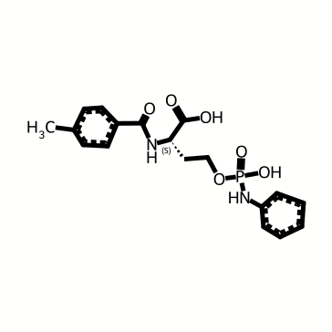 Cc1ccc(C(=O)N[C@@H](CCOP(=O)(O)Nc2ccccc2)C(=O)O)cc1